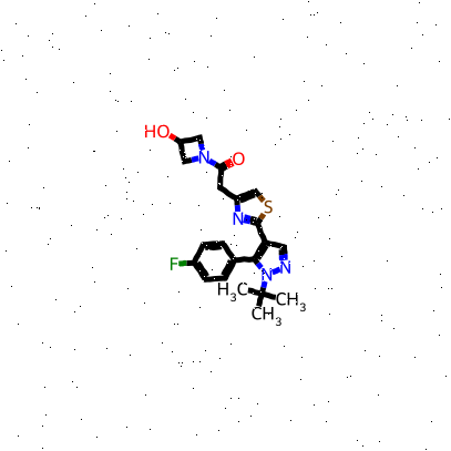 CC(C)(C)n1ncc(-c2nc(CC(=O)N3CC(O)C3)cs2)c1-c1ccc(F)cc1